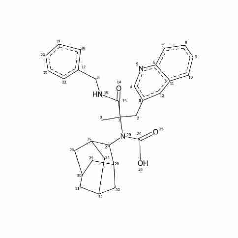 CC(Cc1cnc2ccccc2c1)(C(=O)NCc1ccccc1)N(C(=O)O)C1C2CC3CC(C2)CC1C3